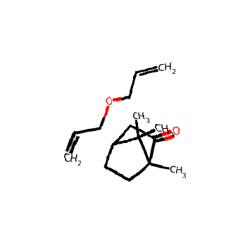 C=CCOCC=C.CC12CCC(CC1=O)C2(C)C